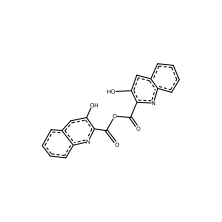 O=C(OC(=O)c1nc2ccccc2cc1O)c1nc2ccccc2cc1O